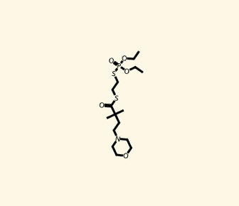 CCOP(=O)(OCC)SCCSC(=O)C(C)(C)CCN1CCOCC1